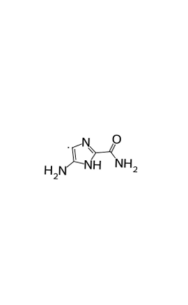 NC(=O)c1n[c]c(N)[nH]1